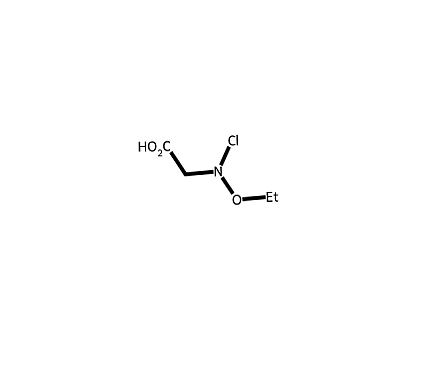 CCON(Cl)CC(=O)O